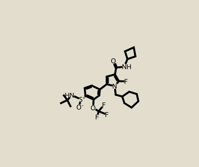 CC(C)(C)N[S+]([O-])c1ccc(-c2cc(C(=O)NC3CCC3)c(F)n2CC2CCCCC2)cc1OC(F)(F)F